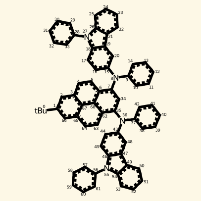 CC(C)(C)c1cc2ccc3c(N(c4ccccc4)c4ccc5c(c4)c4ccccc4n5-c4ccccc4)cc(N(c4ccccc4)c4ccc5c(c4)c4ccccc4n5-c4ccccc4)c4ccc(c1)c2c34